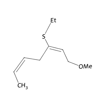 C/C=C\C/C(=C\COC)SCC